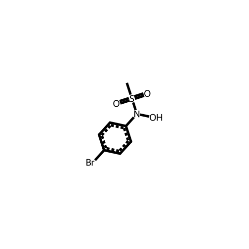 CS(=O)(=O)N(O)c1ccc(Br)cc1